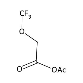 CC(=O)OC(=O)COC(F)(F)F